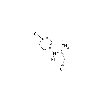 C#C/C=C(/C)N(CC)c1ccc(Cl)cc1